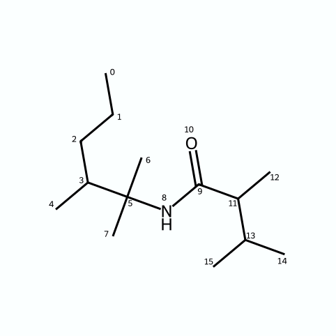 CCCC(C)C(C)(C)NC(=O)C(C)C(C)C